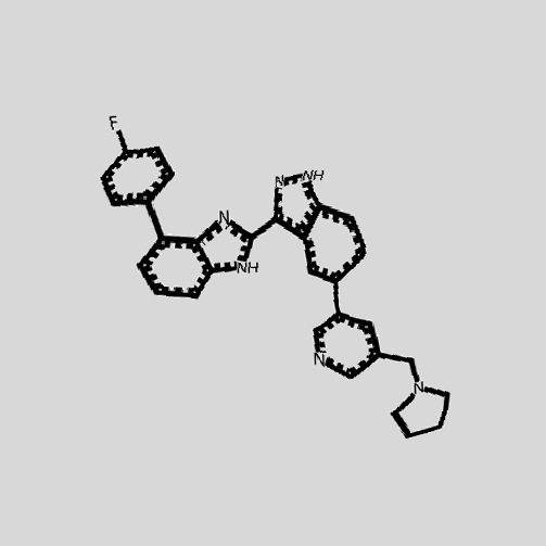 Fc1ccc(-c2cccc3[nH]c(-c4n[nH]c5ccc(-c6cncc(CN7CCCC7)c6)cc45)nc23)cc1